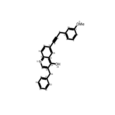 COc1cccc(CC#Cc2ccc3ncc(Cc4ccccc4)c(O)c3c2)c1